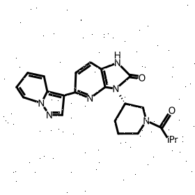 CC(C)C(=O)N1CCC[C@H](n2c(=O)[nH]c3ccc(-c4cnn5ccccc45)nc32)C1